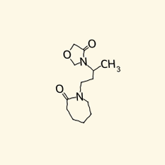 CC(CCN1CCCCCC1=O)N1COCC1=O